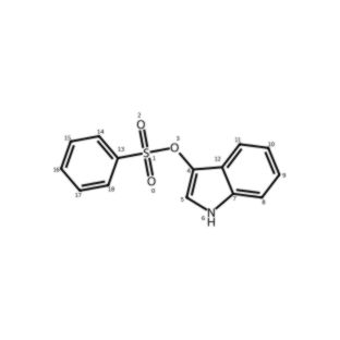 O=S(=O)(Oc1c[nH]c2ccccc12)c1ccccc1